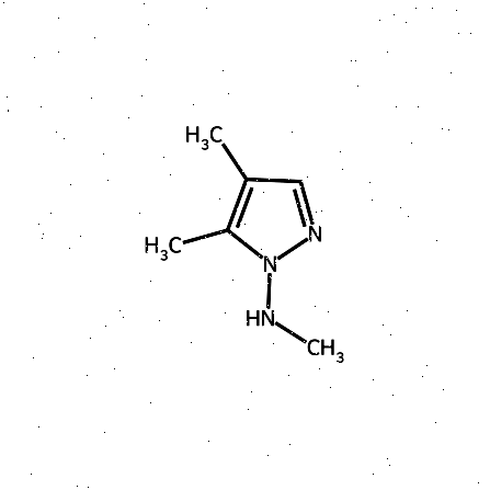 CNn1ncc(C)c1C